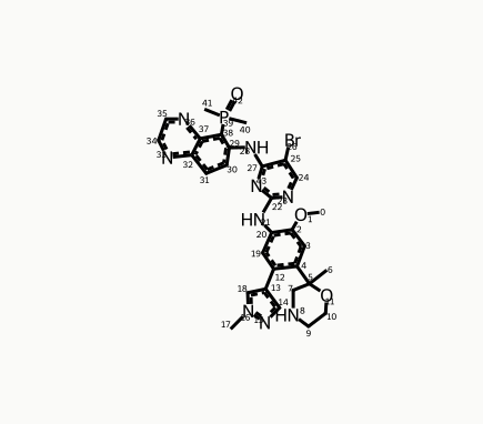 COc1cc(C2(C)CNCCO2)c(-c2cnn(C)c2)cc1Nc1ncc(Br)c(Nc2ccc3nccnc3c2P(C)(C)=O)n1